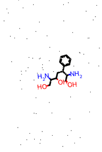 NC(CO)C(O)CC(c1ccccc1)C(N)CO